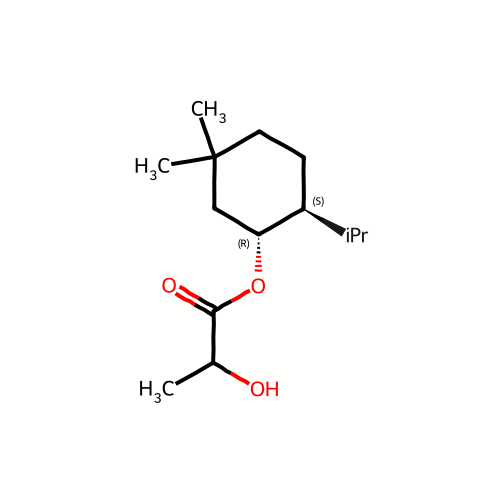 CC(O)C(=O)O[C@@H]1CC(C)(C)CC[C@H]1C(C)C